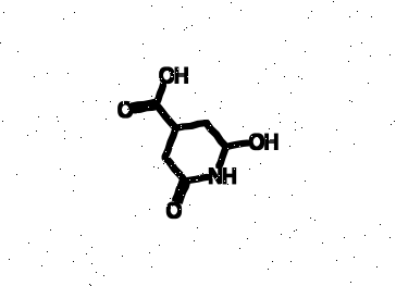 O=C1CC(C(=O)O)CC(O)N1